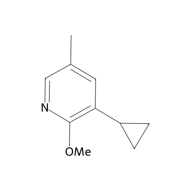 COc1ncc(C)cc1C1CC1